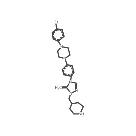 C=C1N(CC2CCNCC2)N=CN1c1ccc(N2CCN(c3ccc(CC)cc3)CC2)cc1